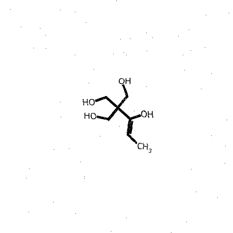 CC=C(O)C(CO)(CO)CO